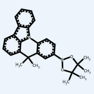 CC1(C)c2cc(B3OC(C)(C)C(C)(C)O3)ccc2-n2c3ccccc3c3cccc1c32